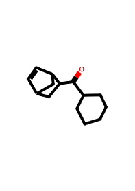 O=C(C1CCCCC1)C1CC2C=CC1C2